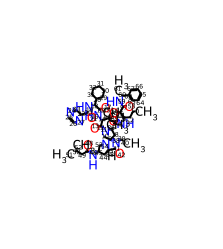 CCCC(NC(=O)[C@@H]1CC2(CN1C(=O)[C@@H](NC(=O)[C@@H](NC(=O)c1cnccn1)C1CCCCC1)C(C)(C)C)N(CC)C(=O)[C@H]1C[C@@H](NC(=O)CC(C)C)CN12)C(=O)C(=O)N[C@@H](C)c1ccccc1